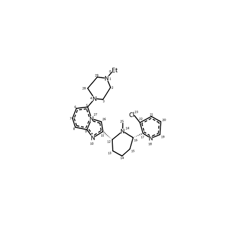 CCN1CCN(c2cccc3nc([C@H]4CCC[C@@H](c5ncccc5Cl)N4C)cn23)CC1